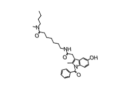 CCCCN(C)C(=O)CCCCCCNC(=O)Cc1c(C)n(C(=O)c2ccccc2)c2ccc(O)cc12